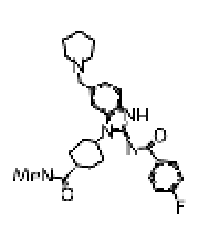 CNC(=O)[C@H]1CC[C@@H](n2/c(=N/C(=O)c3ccc(F)cc3)[nH]c3ccc(CN4CCCCC4)cc32)CC1